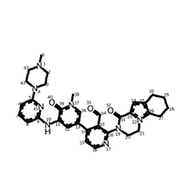 CN1CCN(c2cccc(Nc3cc(-c4ccnc(N5CCn6c(cc7c6CCCC7)C5=O)c4C=O)cn(C)c3=O)n2)CC1